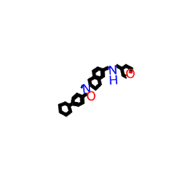 CN(C(=O)c1ccc(C2CCCCC2)cc1)C1CCc2cc(CNCC3CCOCC3)ccc2C1